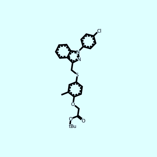 Cc1cc(SCc2nn(-c3ccc(Cl)cc3)c3ccccc23)ccc1OCC(=O)OC(C)(C)C